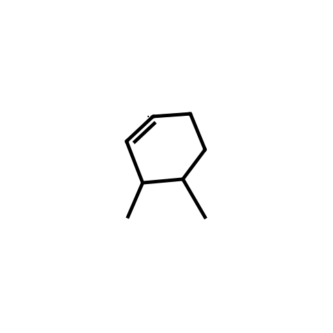 CC1C=[C]CCC1C